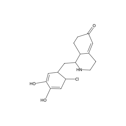 O=C1C=C2CCNC(CC3C=C(O)C(O)=CC3Cl)C2CC1